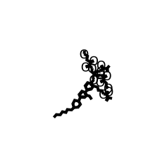 C=C(C)C(=O)OCCCc1cc(-c2ccc(C3CCC(CCCCCCC)CC3)cc2CC)ccc1OCC(COC(=O)C(=C)C)(COC(=O)C(=O)CCOC)COC(=O)C(=O)CCOC